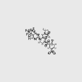 CC(C)N(C[C@H]1CN(S(=O)(=O)C2=CC([N+](=O)[O-])=CCC2=S)CCN1c1ncc(C(O)(C(F)(F)F)C(F)(F)F)cn1)S(C)(=O)=O